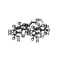 CCCCCCCCCCCCN.CCN(C(P(=O)(O)O)P(=O)(O)O)C(P(=O)(O)O)P(=O)(O)O.CCN(C(P(=O)(O)O)P(=O)(O)O)C(P(=O)(O)O)P(=O)(O)O